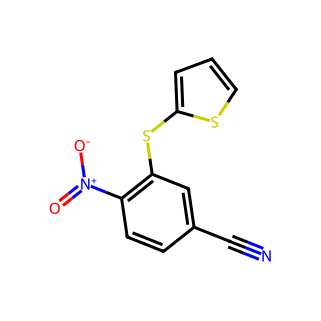 N#Cc1ccc([N+](=O)[O-])c(Sc2cccs2)c1